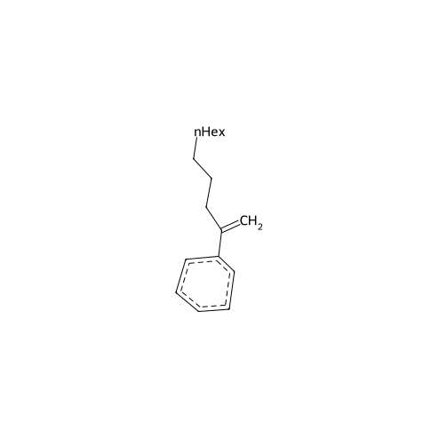 C=C(CCCCCCCCC)c1ccccc1